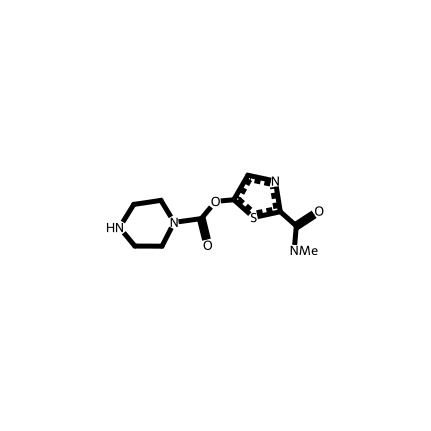 CNC(=O)c1ncc(OC(=O)N2CCNCC2)s1